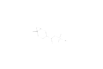 CC(C[Si](C)(C)O)C1CCC2(C)OC2C1